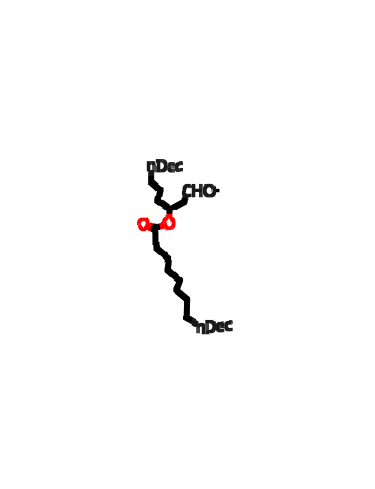 CCCCCCCCCCCCCCCCCC(=O)OC(C[C]=O)CCCCCCCCCCCCC